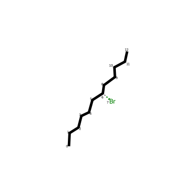 CCCCCC[C@@H](Br)CCCCC